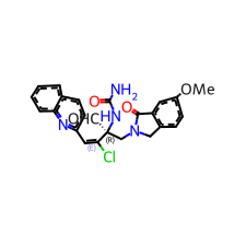 COc1ccc2c(c1)C(=O)N(C[C@](C=O)(NC(N)=O)/C(Cl)=C\c1ccc3ccccc3n1)C2